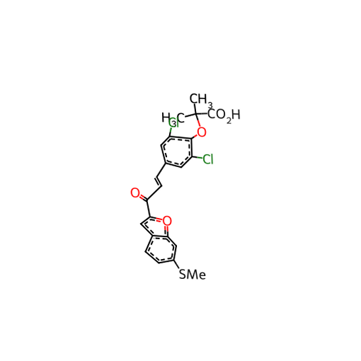 CSc1ccc2cc(C(=O)/C=C/c3cc(Cl)c(OC(C)(C)C(=O)O)c(Cl)c3)oc2c1